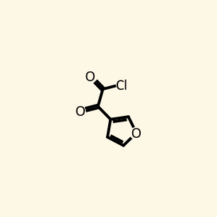 O=C(Cl)C(=O)c1ccoc1